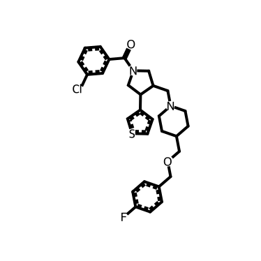 O=C(c1cccc(Cl)c1)N1CC(CN2CCC(COCc3ccc(F)cc3)CC2)C(c2ccsc2)C1